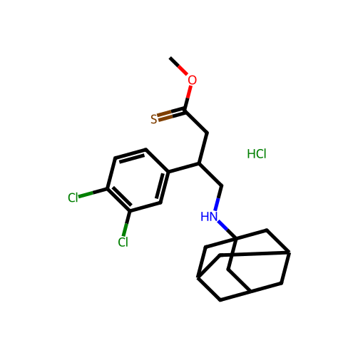 COC(=S)CC(CNC12CC3CC(CC(C3)C1)C2)c1ccc(Cl)c(Cl)c1.Cl